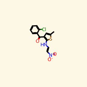 Cc1cc(C(=O)c2ccccc2Cl)c(NC=C[N+](=O)[O-])s1